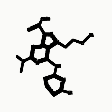 CCOCCn1nc(C(=O)OC)c2nc(N(C)C)nc(Nc3cccc(CC)n3)c21